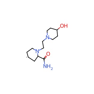 NC(=O)C1C[CH]CCN1CCN1CCC(O)CC1